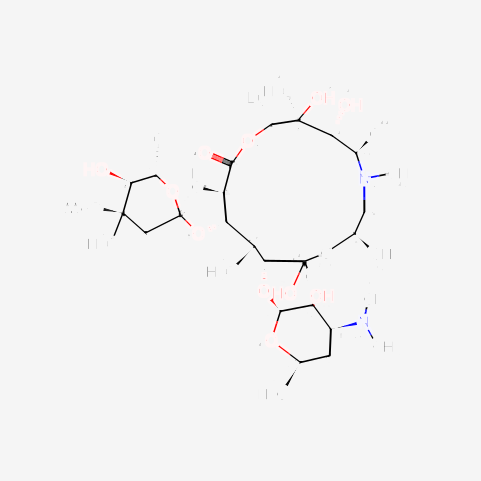 CC[C@H]1OC(=O)[C@H](C)[C@@H](OC2C[C@@](C)(OC)[C@@H](O)[C@H](C)O2)[C@H](C)[C@@H](O[C@@H]2O[C@H](C)C[C@H](N(C)C)[C@H]2O)C(C)(O)C[C@H](C)CN(C)[C@H](C)[C@@H](O)[C@]1(C)O